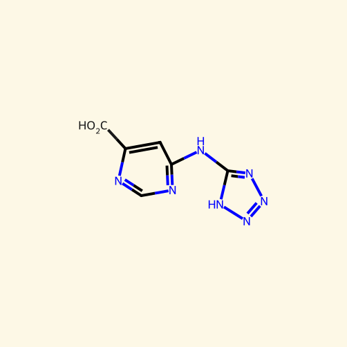 O=C(O)c1cc(Nc2nnn[nH]2)ncn1